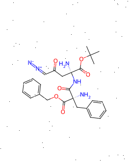 CC(C)(C)OC(=O)[C@](N)(CC(=O)C=[N+]=[N-])NC(=O)[C@@](N)(Cc1ccccc1)C(=O)OCc1ccccc1